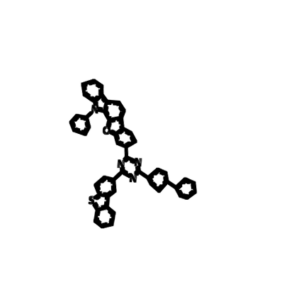 c1ccc(-c2ccc(-c3nc(-c4ccc5c(c4)oc4c5ccc5c6ccccc6n(-c6ccccc6)c54)nc(-c4ccc5sc6ccccc6c5c4)n3)cc2)cc1